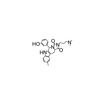 Cc1ccc2[nH]c3c(c2c1)CC1C(=O)N(CCCN(C)C)C(=O)N1C3c1cccc(O)c1